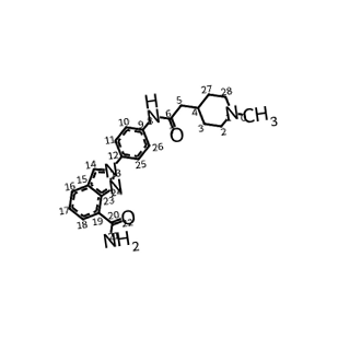 CN1CCC(CC(=O)Nc2ccc(-n3cc4cccc(C(N)=O)c4n3)cc2)CC1